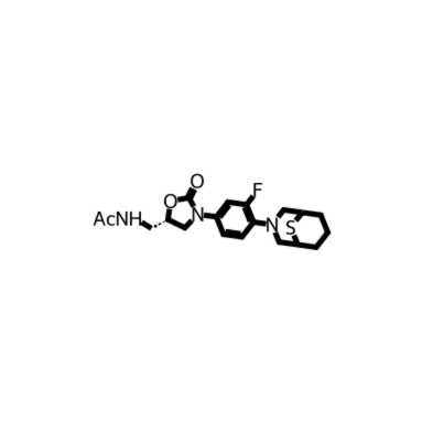 CC(=O)NC[C@H]1CN(c2ccc(N3CC4CCCC(C3)S4)c(F)c2)C(=O)O1